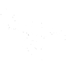 c1ccc(-n2c3ccccc3c3cc(-c4cccc5oc6ccc(-n7c8ccccc8c8cc9c(cc87)oc7ccccc79)cc6c45)ccc32)cc1